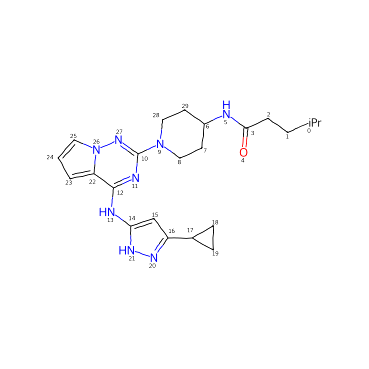 CC(C)CCC(=O)NC1CCN(c2nc(Nc3cc(C4CC4)n[nH]3)c3cccn3n2)CC1